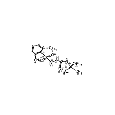 Cc1cccc(C)c1S(=O)(=O)NNC(=O)NC(C)(C(F)(F)F)C(F)(F)F